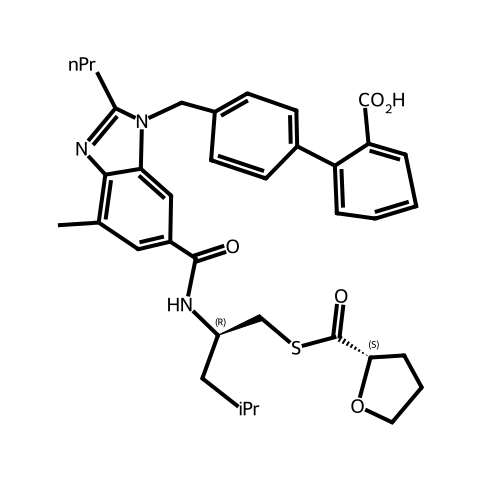 CCCc1nc2c(C)cc(C(=O)N[C@@H](CSC(=O)[C@@H]3CCCO3)CC(C)C)cc2n1Cc1ccc(-c2ccccc2C(=O)O)cc1